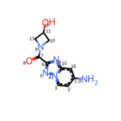 Nc1ccn2nc(C(=O)N3CC(O)C3)nc2c1